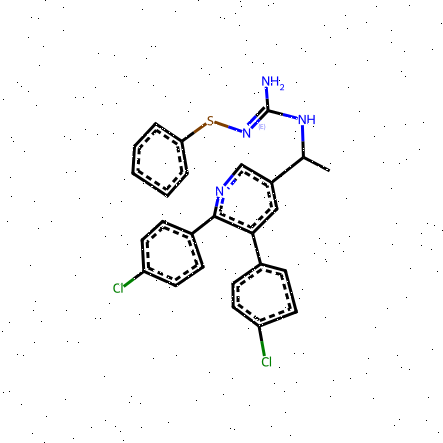 CC(N/C(N)=N/Sc1ccccc1)c1cnc(-c2ccc(Cl)cc2)c(-c2ccc(Cl)cc2)c1